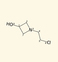 OC1CN(CCCl)C1